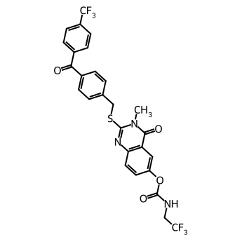 Cn1c(SCc2ccc(C(=O)c3ccc(C(F)(F)F)cc3)cc2)nc2ccc(OC(=O)NCC(F)(F)F)cc2c1=O